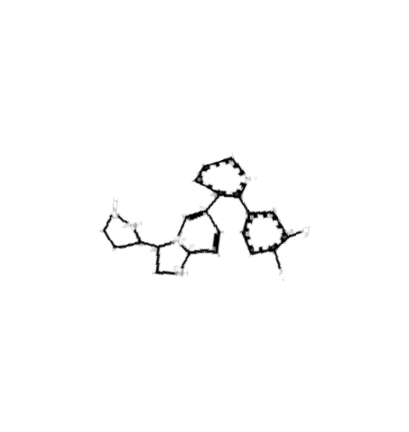 Fc1ccc(-c2ncccc2C2=CN3C(C=C2)NCC3C2CCNN2)cc1Cl